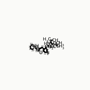 CC(C)[C@@H](NC(=O)Oc1cc(F)ccc1C=C1SC(N2CCCCN2)=NC1=O)C(=O)OC(C)(C)C